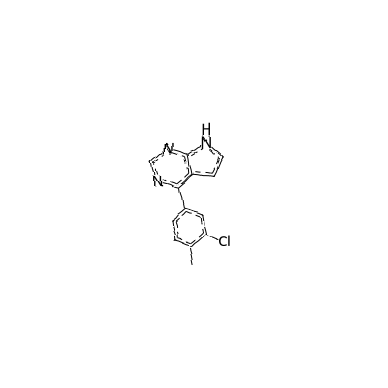 Cc1ccc(-c2ncnc3[nH]ccc23)cc1Cl